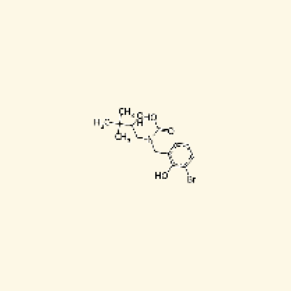 CC(C)(C)C(O)CN(Cc1cccc(Br)c1O)C(=O)O